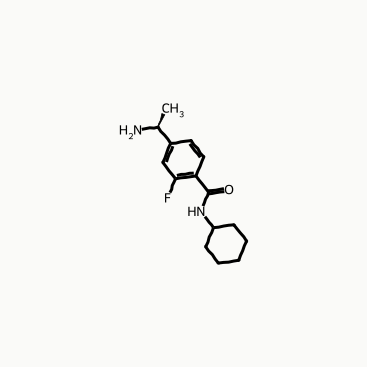 C[C@H](N)c1ccc(C(=O)NC2CCCCC2)c(F)c1